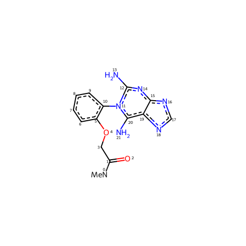 CNC(=O)COc1ccccc1-n1c(N)nc2ncnc-2c1N